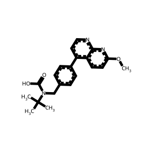 COc1ccc2c(-c3ccc(CN(C(=O)O)C(C)(C)C)cc3)ccnc2n1